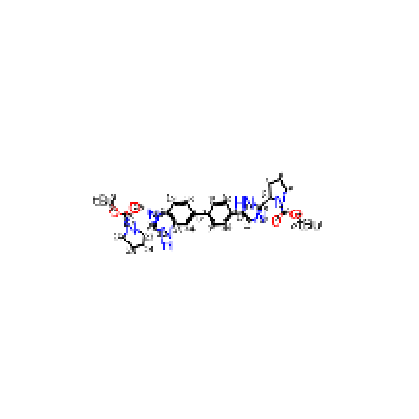 CC(C)(C)OC(=O)N1CCC[C@@H]1c1ncc(-c2ccc(-c3ccc4nc([C@@H]5CCCN5C(=O)OC(C)(C)C)[nH]c4c3)cc2)[nH]1